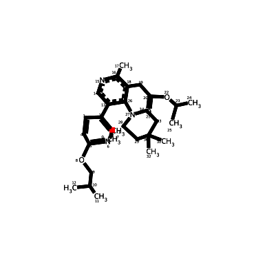 CC=C(/C=C\C(=N/C)OCC(C)C)c1cnc(C)c(CC(=O)OC(C)C)c1N1CCC(C)(C)CC1